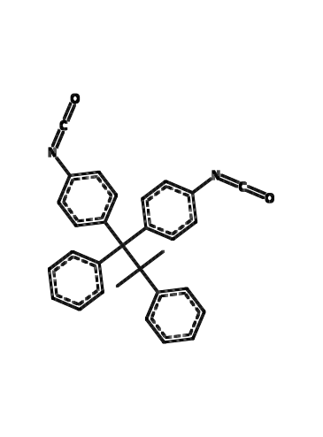 CC(C)(c1ccccc1)C(c1ccccc1)(c1ccc(N=C=O)cc1)c1ccc(N=C=O)cc1